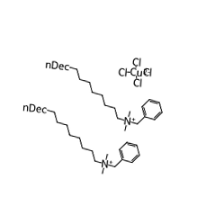 CCCCCCCCCCCCCCCCCC[N+](C)(C)Cc1ccccc1.CCCCCCCCCCCCCCCCCC[N+](C)(C)Cc1ccccc1.[Cl][Cu-2]([Cl])([Cl])[Cl]